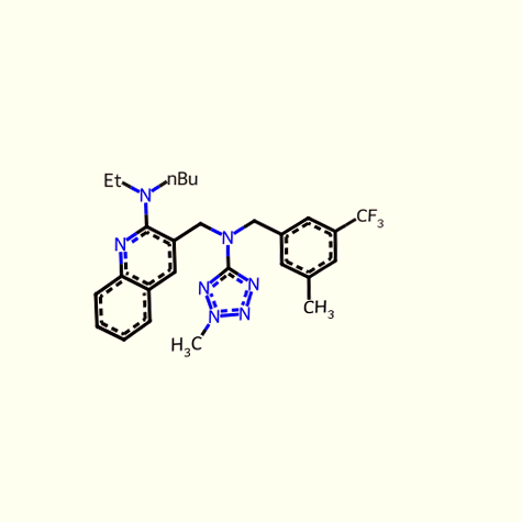 CCCCN(CC)c1nc2ccccc2cc1CN(Cc1cc(C)cc(C(F)(F)F)c1)c1nnn(C)n1